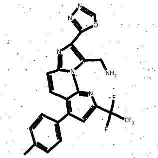 Cc1ccc(-c2cc(C(F)(F)C(F)(F)F)nc3c2ccc2nc(-c4nnco4)c(CN)n23)cc1